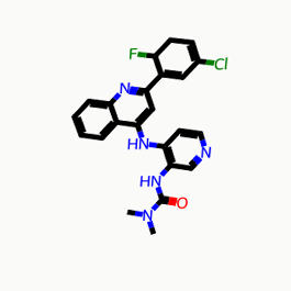 CN(C)C(=O)Nc1cnccc1Nc1cc(C2=CC(Cl)=CCC2F)nc2ccccc12